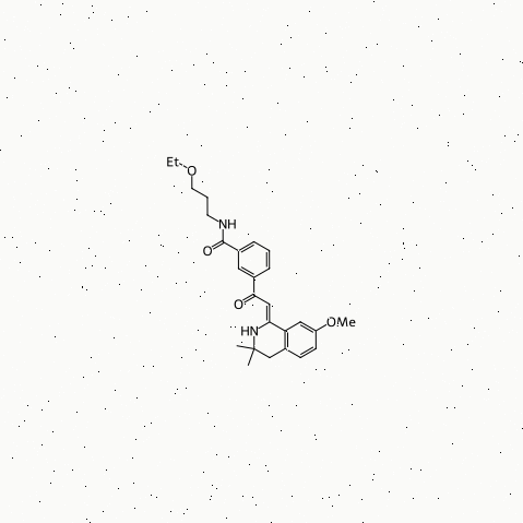 CCOCCCNC(=O)c1cccc(C(=O)C=C2NC(C)(C)Cc3ccc(OC)cc32)c1